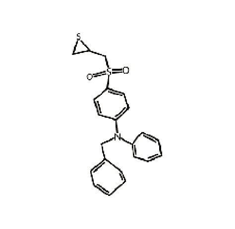 O=S(=O)(CC1CS1)c1ccc(N(Cc2ccccc2)c2ccccc2)cc1